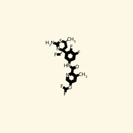 Cc1cc(OC(F)F)cnc1C(=O)Nc1cc(F)c(F)c([C@]2(CF)C[C@@H](C)SC(N)=N2)c1